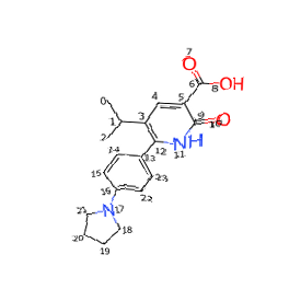 CC(C)c1cc(C(=O)O)c(=O)[nH]c1-c1ccc(N2CCCC2)cc1